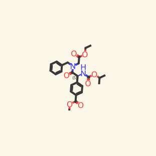 CCOC(=O)CN(Cc1ccccc1)C(=O)[C@@H](NC(=O)OC(C)C)c1ccc(C(=O)OC)cc1